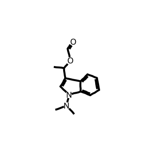 CC(OC=O)c1cn(N(C)C)c2ccccc12